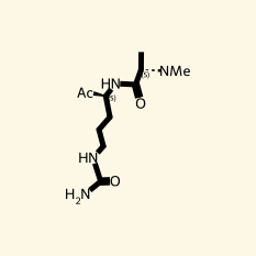 CN[C@@H](C)C(=O)N[C@@H](CCCNC(N)=O)C(C)=O